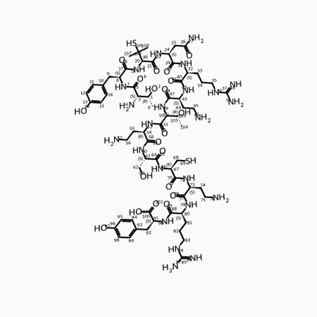 C[C@@H](O)[C@H](N)C(=O)N[C@@H](Cc1ccc(O)cc1)C(=O)N[C@H](C(=O)N[C@@H](CC(N)=O)C(=O)N[C@@H](CCCNC(=N)N)C(=O)N[C@@H](CCN)C(=O)N[C@H](C(=O)N[C@H](CCN)C(=O)N[C@@H](CO)C(=O)N[C@@H](CS)C(=O)N[C@@H](CCN)C(=O)N[C@@H](CCCNC(=N)N)C(=O)N[C@@H](Cc1ccc(O)cc1)C(=O)O)[C@@H](C)O)C(C)(C)S